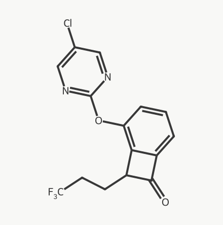 O=C1c2cccc(Oc3ncc(Cl)cn3)c2C1CCC(F)(F)F